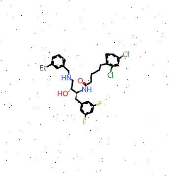 CCc1cccc(CNC[C@@H](O)[C@H](Cc2cc(F)cc(F)c2)NC(=O)CCCCc2ccc(Cl)cc2Cl)c1